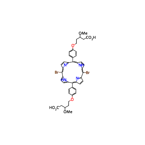 COC(CCOc1ccc(-c2c3nc(c(Br)c4ccc([nH]4)c(-c4ccc(OCCC(CC(=O)O)OC)cc4)c4nc(c(Br)c5ccc2[nH]5)C=C4)C=C3)cc1)CC(=O)O